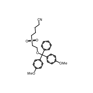 COc1ccc(C(OCCS(=O)(=O)CC[CH]CC#N)(c2ccccc2)c2ccc(OC)cc2)cc1